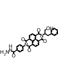 NNC(=O)c1ccc(N2C(=O)c3ccc4c5c(ccc(c35)C2=O)C(=O)N(C(CO)Cc2ccccc2)C4=O)cc1